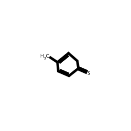 CC1=CCC(=S)[C]=C1